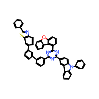 c1ccc(-c2nc3ccc(-c4cccc(-c5cccc(-c6nc(-c7ccc8c(c7)c7ccccc7n8-c7ccccc7)nc(-c7cccc8oc9ccccc9c78)n6)c5)c4)cc3s2)cc1